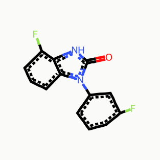 O=c1[nH]c2c(F)cccc2n1-c1cccc(F)c1